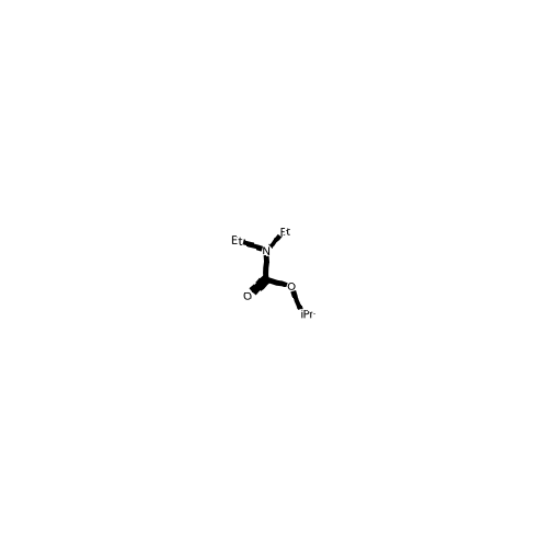 CCN(CC)C(=O)O[C](C)C